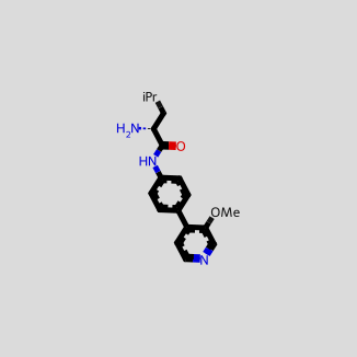 COc1cnccc1-c1ccc(NC(=O)[C@H](N)CC(C)C)cc1